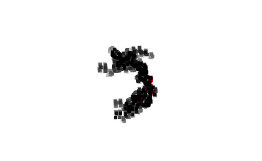 CC[C@H](C)CN(Cc1nc2ccc3cc4c(cc3c2[nH]1)OCc1cc(-c2cnc([C@@H]3CC[C@H](C)N3C(=O)[C@@H](NC(=O)OC)C(C)C)[nH]2)ccc1-4)C(=O)[C@@H](NC(=O)OC)C1CCOCC1